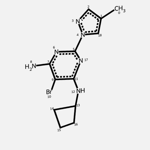 Cc1cnn(-c2nc(N)c(Br)c(NC3CCC3)n2)c1